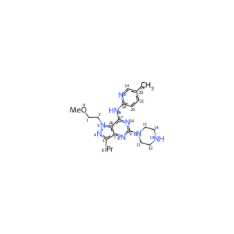 COCCn1nc(C(C)C)c2nc(N3CCNCC3)nc(Nc3ccc(C)cn3)c21